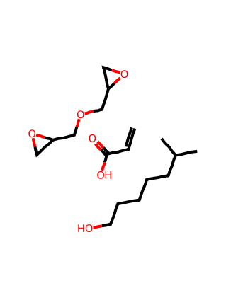 C(OCC1CO1)C1CO1.C=CC(=O)O.CC(C)CCCCCO